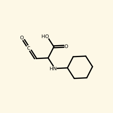 O=C=CC(NC1CCCCC1)C(=O)O